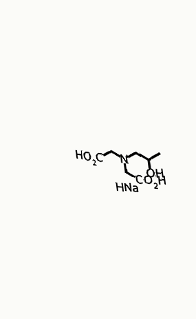 CC(O)CN(CC(=O)O)CC(=O)O.[NaH]